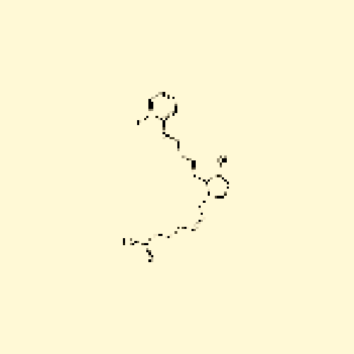 O=C(O)CCC/C=C\C[C@H]1CC[C@@H](O)C1/C=C/CCSc1ccccc1F